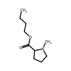 CCCCOC(=O)C1CCCN1C